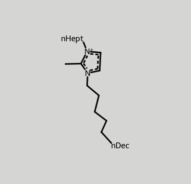 CCCCCCCCCCCCCCCn1cc[n+](CCCCCCC)c1C